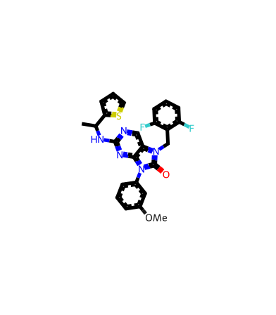 COc1cccc(-n2c(=O)n(Cc3c(F)cccc3F)c3cnc(NC(C)c4cccs4)nc32)c1